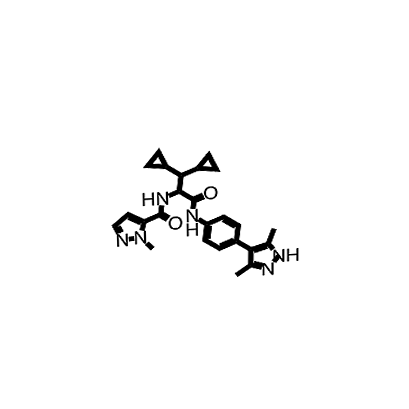 Cc1n[nH]c(C)c1-c1ccc(NC(=O)C(NC(=O)c2ccnn2C)C(C2CC2)C2CC2)cc1